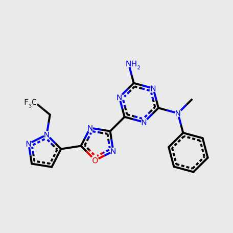 CN(c1ccccc1)c1nc(N)nc(-c2noc(-c3ccnn3CC(F)(F)F)n2)n1